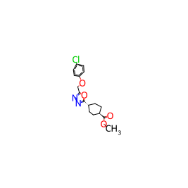 COC(=O)[C@H]1CC[C@H](c2nnc(COc3ccc(Cl)cc3)o2)CC1